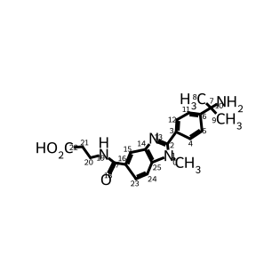 Cn1c(-c2ccc(C(C)(C)N)cc2)nc2cc(C(=O)NCCC(=O)O)ccc21